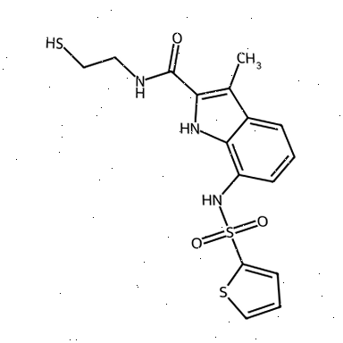 Cc1c(C(=O)NCCS)[nH]c2c(NS(=O)(=O)c3cccs3)cccc12